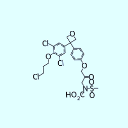 CS(=O)(=O)N(CC(=O)COc1ccc(C2(c3cc(Cl)c(OCCCCl)c(Cl)c3)COC2)cc1)C(=O)O